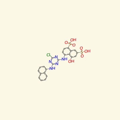 O=S(=O)(O)c1cc(O)c2c(Nc3nc(Cl)nc(Nc4cccc5ccccc45)n3)ccc(S(=O)(=O)O)c2c1